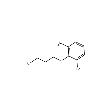 Nc1cccc(Br)c1SCCCCl